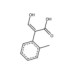 Cc1ccccc1/C(=C/O)C(=O)O